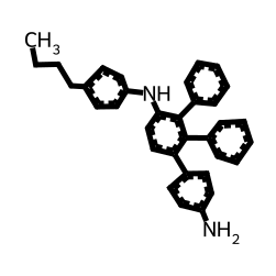 CCCCc1ccc(Nc2ccc(-c3ccc(N)cc3)c(-c3ccccc3)c2-c2ccccc2)cc1